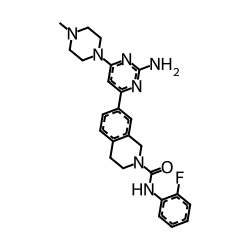 CN1CCN(c2cc(-c3ccc4c(c3)CN(C(=O)Nc3ccccc3F)CC4)nc(N)n2)CC1